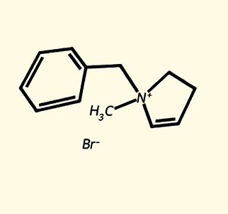 C[N+]1(Cc2ccccc2)C=CCC1.[Br-]